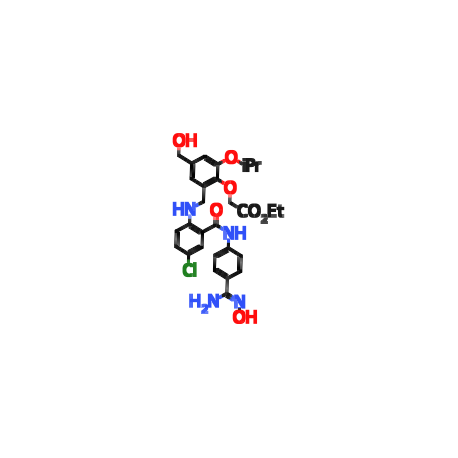 CCOC(=O)COc1c(CNc2ccc(Cl)cc2C(=O)Nc2ccc(/C(N)=N/O)cc2)cc(CO)cc1OC(C)C